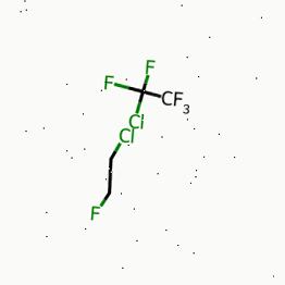 FC(F)(F)C(F)(F)Cl.FCCCl